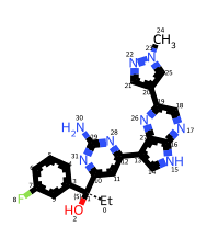 CC[C@](O)(c1cccc(F)c1)c1cc(-c2c[nH]c3ncc(-c4cnn(C)c4)nc23)nc(N)n1